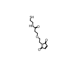 O=C(CCOCCN1C(=O)C=CC1=O)NCCS